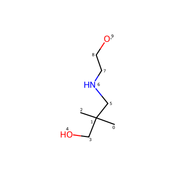 CC(C)(CO)CNCC[O]